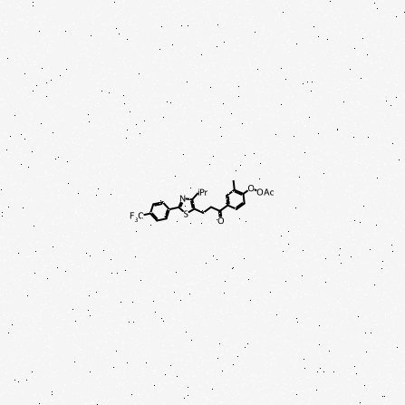 CC(=O)OOc1ccc(C(=O)CCc2sc(-c3ccc(C(F)(F)F)cc3)nc2C(C)C)cc1C